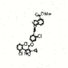 COC(=O)c1cccc2c1cnn2C#Cc1ccc(OCc2c(-c3c(Cl)cccc3Cl)noc2C2CC2)cc1Cl